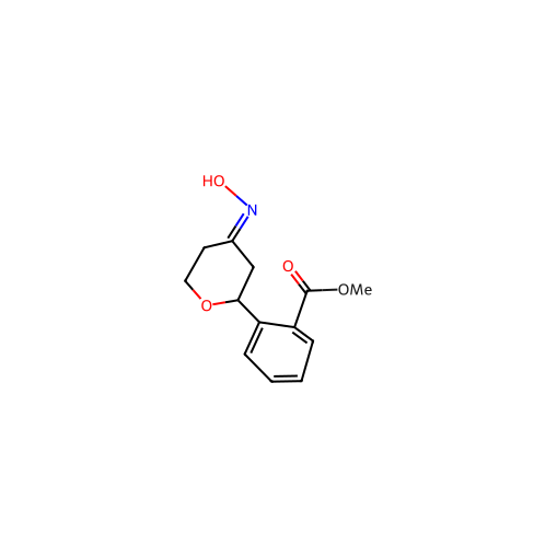 COC(=O)c1ccccc1C1CC(=NO)CCO1